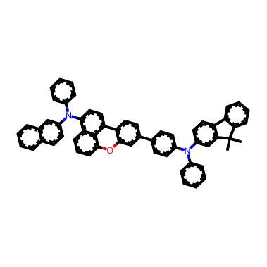 CC1(C)c2ccccc2-c2ccc(N(c3ccccc3)c3ccc(-c4ccc5c(c4)Oc4cccc6c(N(c7ccccc7)c7ccc8ccccc8c7)ccc-5c46)cc3)cc21